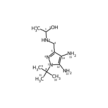 CC(O)NCc1nn(C(C)(C)C)c(N)c1N